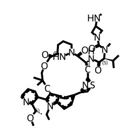 CCn1c(-c2cccnc2[C@H](C)OC)c2c3cc(ccc31)-c1csc(n1)C[C@H](NC(=O)[C@H](C(C)C)N(C)C(=O)N1CC(NC)C1)C(=O)N1CCC[C@](C=O)(COCC(C)(C)C2)N1